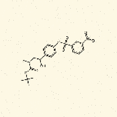 CN(CC(O)c1ccc(OS(=O)(=O)c2cccc([N+](=O)[O-])c2)cc1)C(=O)OC(C)(C)C